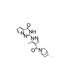 Cc1c(C(=O)N2CC3CC2C[C@H]3C)cnn1-c1nn2cccc2c(=O)[nH]1